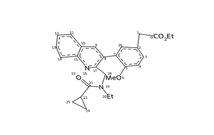 CCOC(=O)Cc1ccc(OC)c(-c2cc3ccccc3nc2CN(CC)C(=O)C2CC2)c1